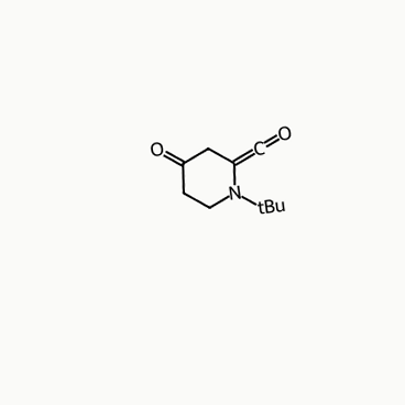 CC(C)(C)N1CCC(=O)CC1=C=O